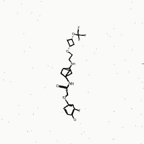 O=C(COc1ccc(Cl)c(F)c1)NC12CC(C1)C(NCCO[C@H]1C[C@@H](OC(F)(F)F)C1)C2